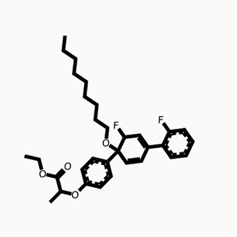 CCCCCCCCCOC1(c2ccc(OC(C)C(=O)OCC)cc2)C=CC(c2ccccc2F)=CC1F